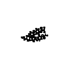 C=CC(=O)Oc1ccc(Oc2ccc(C3(c4ccc(Oc5ccc(OC(=O)C(=C)C)cc5)cc4)CCC(CCC)CC3)cc2)cc1